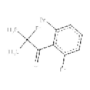 CCC(C)(P)C(=O)c1c(Br)cccc1Br